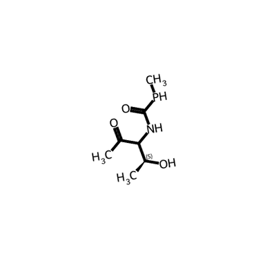 CPC(=O)NC(C(C)=O)[C@H](C)O